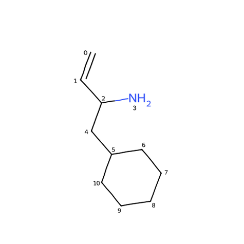 C=CC(N)CC1CCCCC1